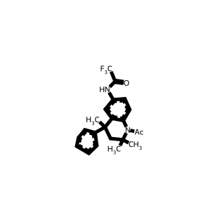 CC(=O)N1c2ccc(NC(=O)C(F)(F)F)cc2C(C)(c2ccccc2)CC1(C)C